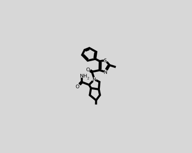 Cc1nc(C(=O)N2CC3CC(C)CC3C2C(N)=O)c(-c2ccccc2)s1